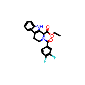 CCOC(=O)C1c2[nH]c3ccccc3c2CCN1C(=O)c1ccc(F)c(F)c1